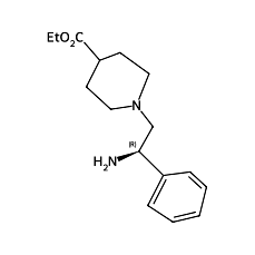 CCOC(=O)C1CCN(C[C@H](N)c2ccccc2)CC1